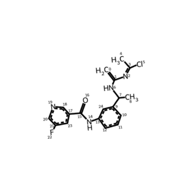 C=C(/N=C(\C)Cl)NC(C)c1cccc(NC(=O)c2cncc(F)c2)c1